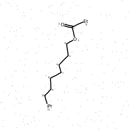 CCC(=O)OCCCCCCCC(C)C